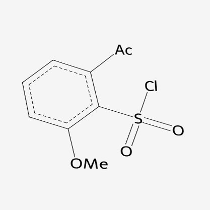 COc1cccc(C(C)=O)c1S(=O)(=O)Cl